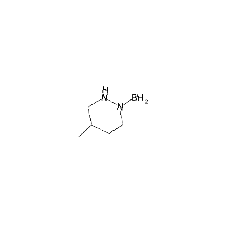 BN1CCC(C)CN1